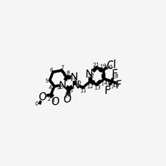 COC(=O)C1CCCc2nn(Cc3cc(C(F)(F)F)c(Cl)cn3)c(=O)n21